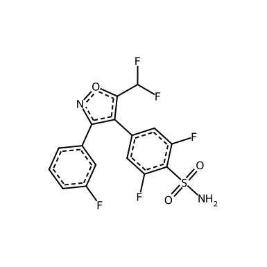 NS(=O)(=O)c1c(F)cc(-c2c(-c3cccc(F)c3)noc2C(F)F)cc1F